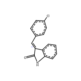 O=C1Nc2ccccc2/C1=C\c1ccc(Cl)cc1